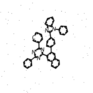 c1ccc(-c2nc(-c3ccccc3)nc(-c3cc4ccccc4cc3-c3ccc(-c4nc5ccccc5n4-c4ccccc4)cc3)n2)cc1